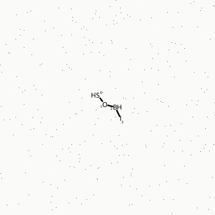 SOBI